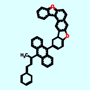 C/C(=C\C=C1\C=CC=CC1)c1c2ccccc2c(C2=CC=C3Oc4cc5ccc6oc7ccccc7c6c5cc4C3C2)c2ccccc12